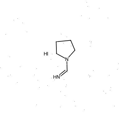 I.N=CN1CCCC1